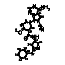 COc1ncc(-c2c(C#N)cc3c(N)ncnn23)cc1C(=O)Nc1cnn(Cc2ccccc2)c1